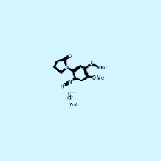 CCCCSC1=C(OC)CC(=[N+]=[N-])C(N2CCCC2=O)=C1.[Cl-].[Cl-].[Zn+2]